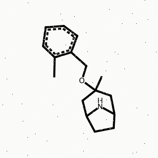 Cc1ccccc1COC1(C)CC2CCC(C1)N2